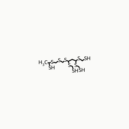 CC(S)SCSCSC(CC(SCS)SCS)SCS